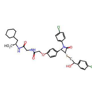 O=C(COc1ccc([C@@H]2[C@@H](SCC(O)c3ccc(Cl)cc3)C(=O)N2c2ccc(Cl)cc2)cc1)NCC(=O)N[C@H](CC1CCCCC1)C(=O)O